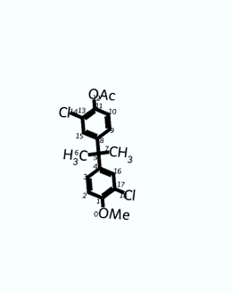 COc1ccc(C(C)(C)c2ccc(OC(C)=O)c(Cl)c2)cc1Cl